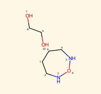 C1CCNONC1.OCCO